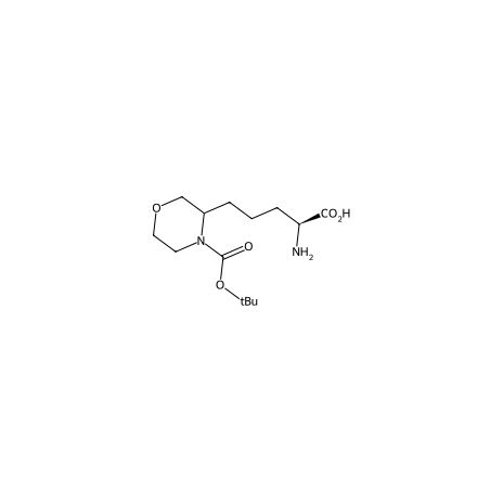 CC(C)(C)OC(=O)N1CCOCC1CCC[C@H](N)C(=O)O